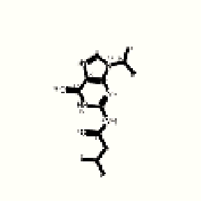 CC(C)CC(=O)Nc1nc2c(ncn2C(C)C)c(=O)[nH]1